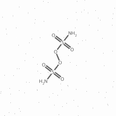 NS(=O)(=O)OOS(N)(=O)=O